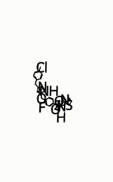 O=S(=O)(Nc1nccs1)c1ccc(Oc2cc(Cc3ccc(Cl)cc3)n[nH]2)c(F)c1